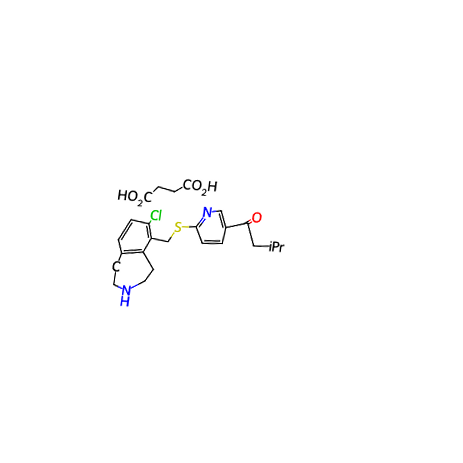 CC(C)CC(=O)c1ccc(SCc2c(Cl)ccc3c2CCNCC3)nc1.O=C(O)CCC(=O)O